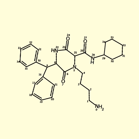 NCCCCN1C(=O)C(C(c2ccccc2)c2ccccc2)NC(=O)C1C(=O)NC1CCCCC1